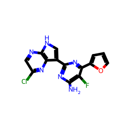 Nc1nc(-c2c[nH]c3ncc(Cl)nc23)nc(-c2ccco2)c1F